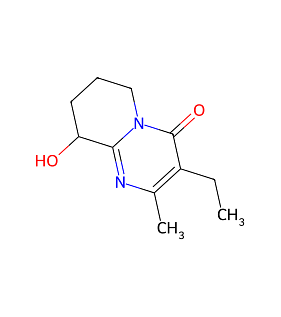 CCc1c(C)nc2n(c1=O)CCCC2O